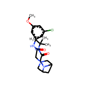 COc1cc(Cl)cc(NC(=O)CN2CC3CC(C2)N3CC(=O)NC(C)(C)C)c1